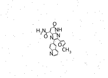 Cc1ccc(-c2nc3[nH]c(=O)cc(C(N)=O)c3nc2-c2ccc3ncccc3c2)o1